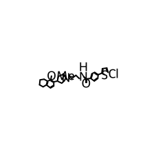 COc1c(C2CCN(CCCCNC(=O)c3ccc(-c4ccc(Cl)s4)cc3)CC2)ccc2c1CCCC2